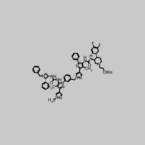 COCCN1CCC([C@H]2C=CC(F)=C(F)C2)C(NC(=O)Nc2c(C)c(-c3cnn(Cc4cccc(-n5nc(-c6cnn(C)c6)c(C)c5NC(=O)N[C@@H]5CN(Cc6ccccc6)[C@H]5c5ccccc5)c4)c3)nn2-c2ccccc2)C1